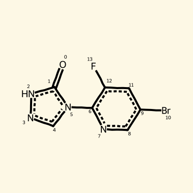 O=c1[nH]ncn1-c1ncc(Br)cc1F